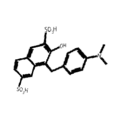 CN(C)c1ccc(Cc2c(O)c(S(=O)(=O)O)cc3ccc(S(=O)(=O)O)cc23)cc1